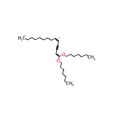 CCCCCCCC/C=C\C#CC=C(OCCCCCCC)OCCCCCCC